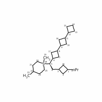 CCCC1CC(C[C@H](C2CC(C3CC(C4CCC4)C3)C2)S2(C)CCC(C)CC2)C1